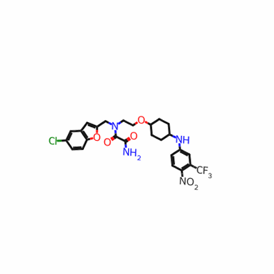 NC(=O)C(=O)N(CCOC1CCC(Nc2ccc([N+](=O)[O-])c(C(F)(F)F)c2)CC1)Cc1cc2cc(Cl)ccc2o1